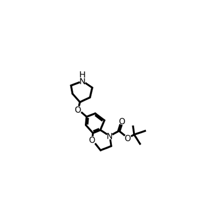 CC(C)(C)OC(=O)N1CCOc2cc(OC3CCNCC3)ccc21